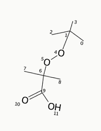 CC(C)(C)OOC(C)(C)C(=O)O